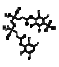 CC(C#N)(CCC(=O)Oc1c(F)c(F)cc(F)c1F)N=NC(C)(C#N)CCC(=O)Oc1c(F)c(F)c(S(=O)(=O)O)c(F)c1F